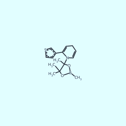 CB1OC(C)(C)C(C)(N2C=CCC=C2c2ccsc2)O1